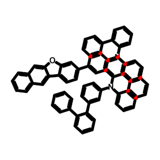 c1ccc(-c2ccccc2-c2cccc(N(c3ccccc3-c3ccccc3)c3ccccc3-c3cccc(N(c4ccc(-c5ccc6c(c5)oc5cc7ccccc7cc56)cc4)c4ccccc4-c4ccccc4)c3)c2)cc1